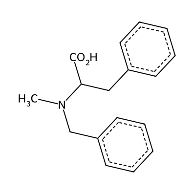 CN(Cc1ccccc1)C(Cc1ccccc1)C(=O)O